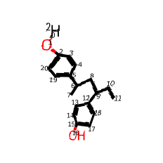 [2H]Oc1ccc(C(C)CC(CC)c2ccc(O)cc2)cc1